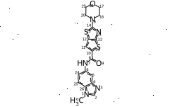 Cn1cnc2cc(NC(=O)c3cc4sc(N5CCOCC5)nc4s3)ccc21